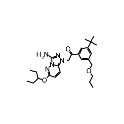 CCCOCc1cc(C(=O)C[n+]2nc(N)n3nc(OC(CC)CC)ccc32)cc(C(C)(C)C)c1